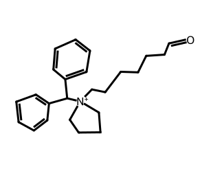 O=CCCCCCC[N+]1(C(c2ccccc2)c2ccccc2)CCCC1